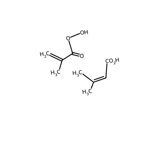 C=C(C)C(=O)OO.CC(C)=CC(=O)O